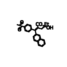 CCOC(=O)C(CCO)=C(c1ccc(S(C)(=O)=O)cc1)c1ccc2ccccc2c1